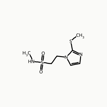 CNS(=O)(=O)CCn1ccnc1SC